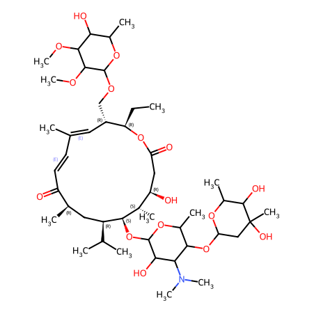 CC[C@H]1OC(=O)C[C@@H](O)[C@H](C)[C@@H](OC2OC(C)C(OC3CC(C)(O)C(O)C(C)O3)C(N(C)C)C2O)[C@@H](C(C)C)C[C@@H](C)C(=O)/C=C/C(C)=C/[C@@H]1COC1OC(C)C(O)C(OC)C1OC